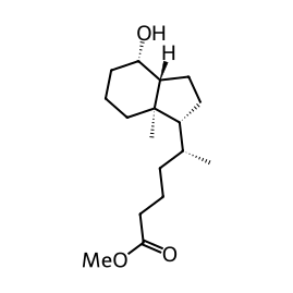 COC(=O)CCC[C@@H](C)[C@H]1CC[C@H]2[C@@H](O)CCC[C@]12C